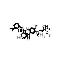 CN(C)CCN(C)c1cc2c(cc1F)N=C(NCc1cccc(Cl)c1)C1(CCNCC1)N2